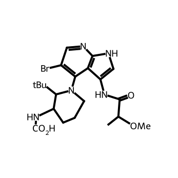 COC(C)C(=O)Nc1c[nH]c2ncc(Br)c(N3CCCC(NC(=O)O)C3C(C)(C)C)c12